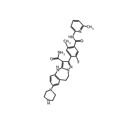 Cc1cccc(NC(=O)c2cc(F)c(-c3nn4c(c3C(N)=O)Nc3ccc(N5CCNCC5)cc3CC4)cc2C)n1